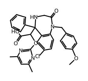 COc1ccc(CN2C(=O)CNC(c3ccccc3)(C(Oc3nc(C)cc(C)n3)C(=O)O)c3cc(Cl)ccc32)cc1